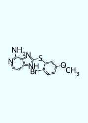 COc1ccc(Br)c(Sc2nc3c(N)nccc3[nH]2)c1